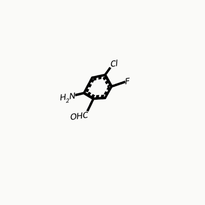 Nc1cc(Cl)c(F)cc1C=O